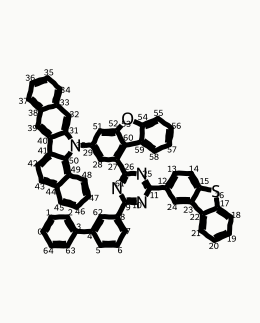 c1ccc(-c2cccc(-c3nc(-c4ccc5sc6ccccc6c5c4)nc(-c4cc(-n5c6cc7ccccc7cc6c6ccc7ccccc7c65)cc5oc6ccccc6c45)n3)c2)cc1